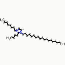 CCCCCCCCCCCCCCCCCCCN1C=CN(CCCCCCCC)C1CCCC